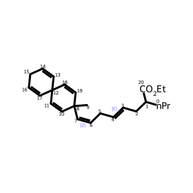 CCCC(C/C=C/C/C=C\C1(C)C=CC2(C=CCC=C2)C=C1)C(=O)OCC